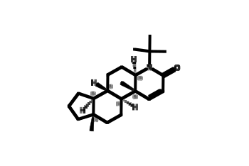 CC(C)(C)N1C(=O)C=C[C@]2(C)[C@H]3CC[C@]4(C)CCC[C@H]4[C@@H]3CC[C@@H]12